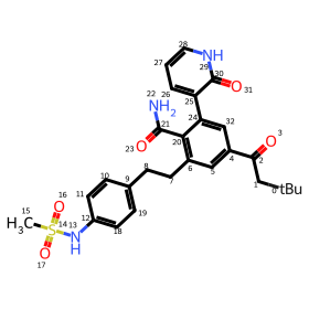 CC(C)(C)CC(=O)c1cc(CCc2ccc(NS(C)(=O)=O)cc2)c(C(N)=O)c(-c2ccc[nH]c2=O)c1